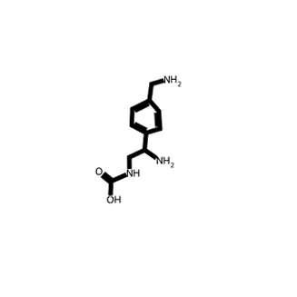 NCc1ccc(C(N)CNC(=O)O)cc1